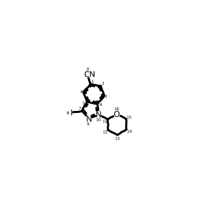 N#Cc1ccc2c(c1)c(I)nn2C1CCCCO1